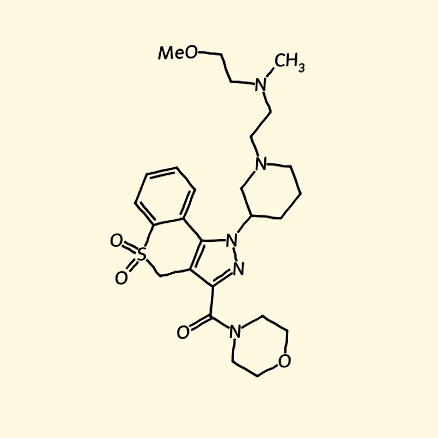 COCCN(C)CCN1CCCC(n2nc(C(=O)N3CCOCC3)c3c2-c2ccccc2S(=O)(=O)C3)C1